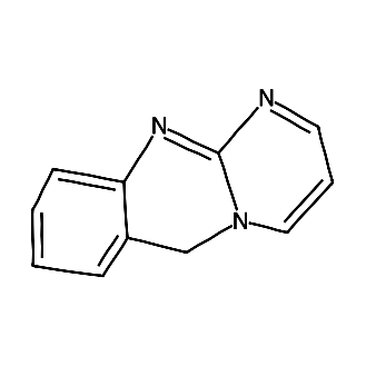 C1=CN2Cc3ccccc3N=C2N=C1